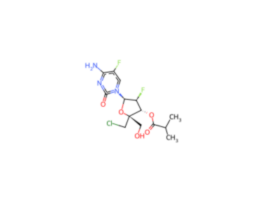 CC(C)C(=O)O[C@H]1[C@H](F)[C@H](n2cc(F)c(N)nc2=O)O[C@@]1(CO)CCl